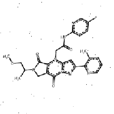 COCC(C)N1Cc2c(n(CC(=O)Nc3ccc(F)cn3)c3cc(-c4ncccc4C)nn3c2=O)C1=O